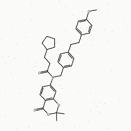 COc1ccc(CCc2ccc(CN(C(=O)CCC3CCCC3)c3ccc4c(c3)OC(C)(C)OC4=O)cc2)cc1